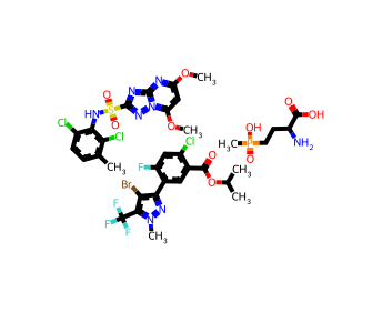 CC(C)OC(=O)c1cc(-c2nn(C)c(C(F)(F)F)c2Br)c(F)cc1Cl.COc1cc(OC)n2nc(S(=O)(=O)Nc3c(Cl)ccc(C)c3Cl)nc2n1.CP(=O)(O)CCC(N)C(=O)O